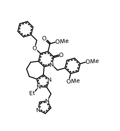 CCn1c(Cn2ccnc2)nc2c1CCCc1c(OCc3ccccc3)c(C(=O)OC)c(=O)n(Cc3ccc(OC)cc3OC)c1-2